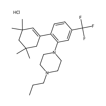 CCCN1CCN(c2cc(C(F)(F)F)ccc2C2=CC(C)(C)CC(C)(C)C2)CC1.Cl